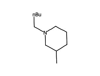 CCCCCN1CCCC(C)C1